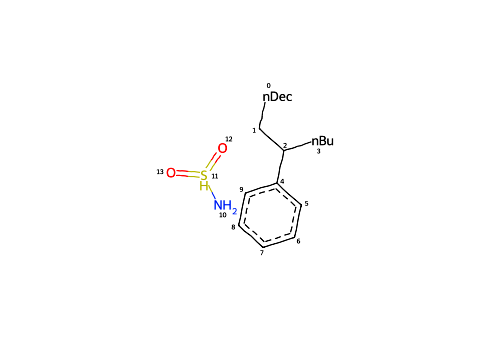 CCCCCCCCCCCC(CCCC)c1ccccc1.N[SH](=O)=O